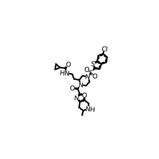 CC1Cc2nc(C(=O)N3CCN(S(=O)(=O)c4cc5ccc(Cl)cc5s4)CC3CCNC(=O)C3CC3)oc2CN1